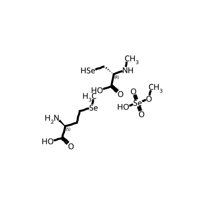 CN[C@@H](C[SeH])C(=O)O.CO[Se](=O)(=O)O.C[Se]CC[C@H](N)C(=O)O